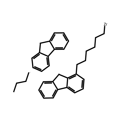 [CH2]CCC.[CH]1c2ccccc2-c2ccccc21.[Zr][CH2]CCCCCc1cccc2c1[CH]c1ccccc1-2